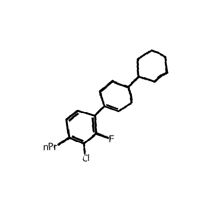 CCCc1ccc(C2=CCC(C3CCCCC3)CC2)c(F)c1Cl